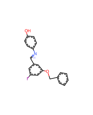 Oc1ccc(/N=C/c2cc(I)cc(OCc3ccccc3)c2)cc1